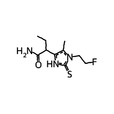 CCC(C(N)=O)c1[nH]c(=S)n(CCF)c1C